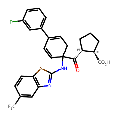 O=C(O)[C@@H]1CCC[C@H]1C(=O)C1(Nc2nc3cc(C(F)(F)F)ccc3s2)C=CC(c2cccc(F)c2)=CC1